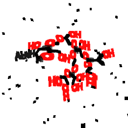 CC(=O)NC1C(O)[C@H](OCOC(CO)CO[C@H](OCCO[C@@H](OC(CO)CO)C(O)CO)C(O)CO[C@@H](OCCO)C(C)CO)C(CO)O[C@H]1C